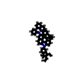 C=CC1=C(/C=C\C)C(C)(C)c2ccc(-n3c4cccc5c4c4c6c(cc(N(c7ccccc7)c7cccc8ccccc78)cc6ccc43)C53c4ccccc4-c4ccccc43)cc21